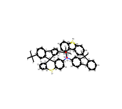 CC(C)(C)c1ccc2c(c1)C1(c3ccccc3Sc3ccc(N(c4ccc5c(c4)C(C)(C)c4ccccc4-5)c4cccc5sc6ccccc6c45)cc31)c1cc(C(C)(C)C)ccc1-2